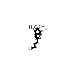 CC1(C)Cc2cc(CCCCl)sc2C1